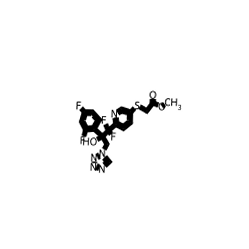 COC(=O)CSc1ccc(C(F)(F)C(O)(Cn2cnnn2)c2ccc(F)cc2F)nc1